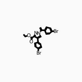 C=C(c1ccc(Br)cc1)n1cc(-c2ccc(Br)cc2)c(C(=O)OCC)n1